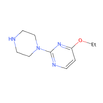 CCOc1ccnc(N2CCNCC2)n1